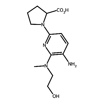 CN(CCO)c1nc(N2CCCC2C(=O)O)ccc1N